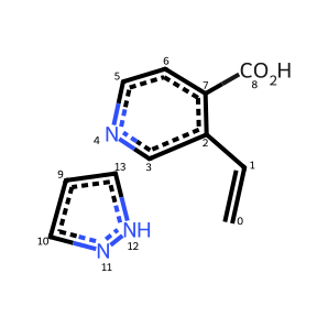 C=Cc1cnccc1C(=O)O.c1cn[nH]c1